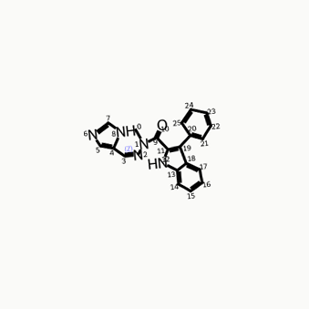 CN(/N=C\c1cnc[nH]1)C(=O)c1[nH]c2ccccc2c1-c1ccccc1